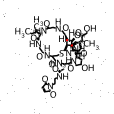 CC[C@H](C)[C@@H]1NC(=O)CNC(=O)C2Cc3c([nH]c4ccccc34)SCC(NC(=O)CNC1=O)C(=O)N[C@@H](CC(=O)NCCN1C(=O)C=CC1=O)C(=O)N1CC(O)C[C@H]1C(=O)N[C@@H]([C@@H](C)[C@@H](O)CO)C(=O)N2